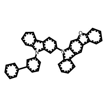 c1ccc(-c2cccc(-n3c4ccccc4c4ccc(-n5c6ccccc6c6cc7c(cc65)oc5ccccc57)cc43)c2)cc1